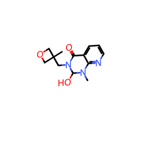 CN1c2ncccc2C(=O)N(CC2(C)COC2)C1O